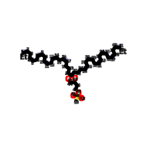 CC/C=C\C/C=C\C/C=C\C/C=C\C/C=C\C/C=C\CCCC1(CCC/C=C\C/C=C\C/C=C\C/C=C\C/C=C\C/C=C\CC)OCC(CCOS(C)(=O)=O)O1